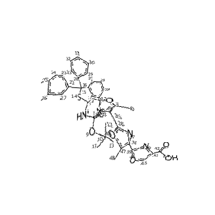 Cc1oc(CC(NC(=O)OC(C)(C)C)SC(c2ccccc2)(c2ccccc2)c2ccccc2)nc1-c1nc(-c2nc(C(=O)O)co2)c(C)o1